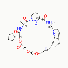 C[C@@H]1NC(=O)[C@H](C2CCCC2)OC(=O)COCOC/C=C/c2ccc3ccc(nc3c2)[C@@H](C)NC(=O)[C@@H]2CCCN(N2)C1=O